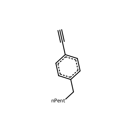 [C]#Cc1ccc(CCCCCC)cc1